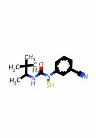 CC(NC(=O)N(S)c1cccc(C#N)c1)C(C)(C)C